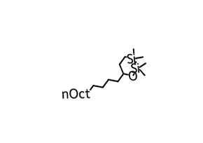 CCCCCCCCCCCCC1CC[Si](C)(C)[Si](C)(C)O1